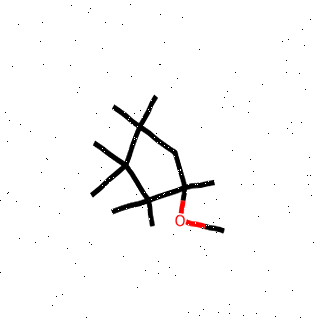 COC1(C)CC(C)(C)C(C)(C)C1(C)C